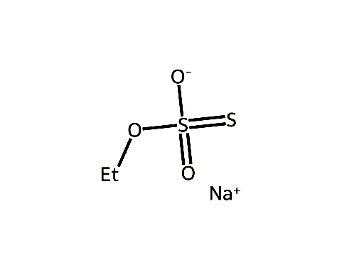 CCOS(=O)([O-])=S.[Na+]